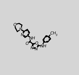 Cc1ccc(Nc2nnc(C(=O)Nc3ccc(N4CCOCC4)nc3)o2)cc1